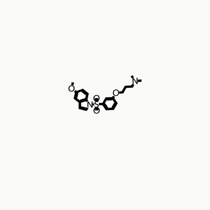 COc1ccc2c(ccn2S(=O)(=O)c2cccc(OCCCN(C)C)c2)c1